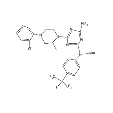 CCCCN(c1ccc(C(F)(C(F)(F)F)C(F)(F)F)cc1)c1nc(N)nc(N2CCN(c3ccccc3Cl)CC2C)n1